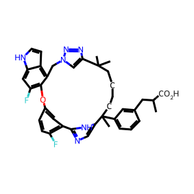 CC(Cc1cccc(C2(C)CCCCC(C)(C)c3cn(nn3)Cc3c(c(F)cc4[nH]ccc34)Oc3ccc(F)c(c3)-c3ncc2[nH]3)c1)C(=O)O